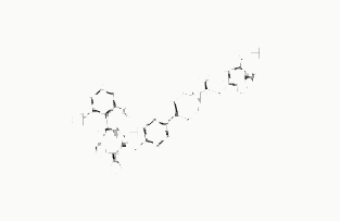 Cc1cc(CC(=O)N2CC=C(c3ccc(C[C@H](NC(=O)c4c(Cl)cccc4Cl)C(=O)O)cc3)CC2)on1